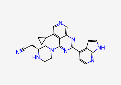 N#CC[C@H]1CN(c2nc(-c3ccnc4[nH]ccc34)nc3cncc(C4CC4)c23)CCN1